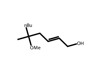 CCCCC(C)(CC=CCO)OC